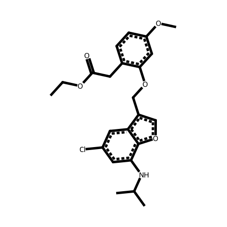 CCOC(=O)Cc1ccc(OC)cc1OCc1coc2c(NC(C)C)cc(Cl)cc12